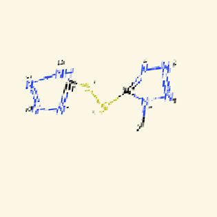 Cn1nnnc1SSc1nnn[nH]1